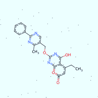 CCc1cc(=O)oc2nc(OCc3cnc(-c4ccccc4)nc3C)nc(O)c12